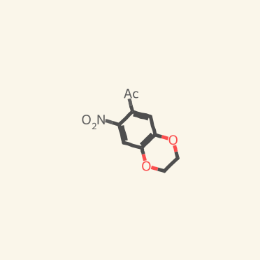 CC(=O)c1cc2c(cc1[N+](=O)[O-])OCCO2